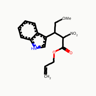 C=CCOC(=O)C(C(COC)c1c[nH]c2ccccc12)[N+](=O)[O-]